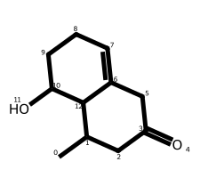 CC1CC(=O)CC2=CCCC(O)C21